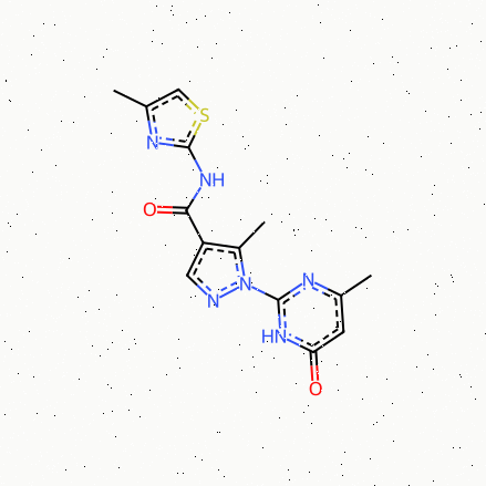 Cc1cc(=O)[nH]c(-n2ncc(C(=O)Nc3nc(C)cs3)c2C)n1